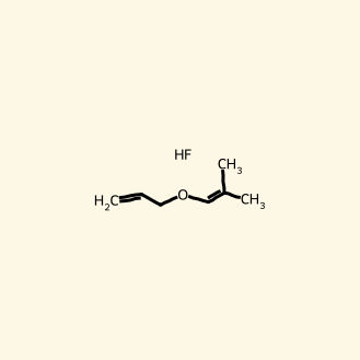 C=CCOC=C(C)C.F